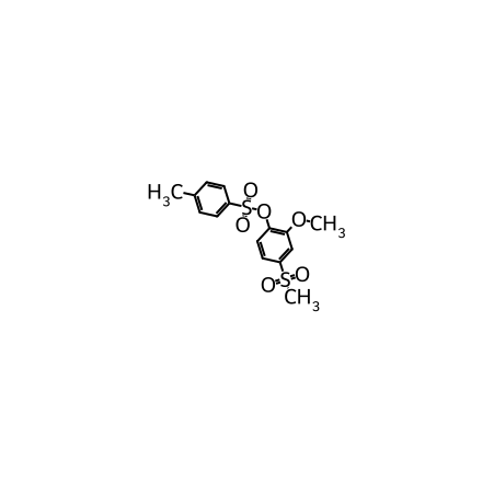 COc1cc(S(C)(=O)=O)ccc1OS(=O)(=O)c1ccc(C)cc1